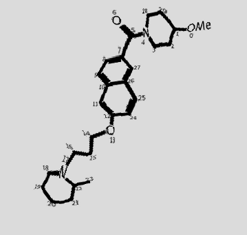 COC1CCN(C(=O)c2ccc3cc(OCCCN4CCCCC4C)ccc3c2)CC1